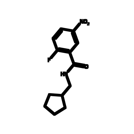 O=C(NCC1CCCC1)c1cc([N+](=O)[O-])ccc1F